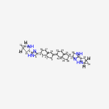 c1cc2cc(-c3c[nH]c([C@@H]4C[C@H]5C[C@H]5N4)n3)ccc2cc1-c1ccc2cc(-c3c[nH]c([C@@H]4C[C@H]5C[C@H]5N4)n3)ccc2c1